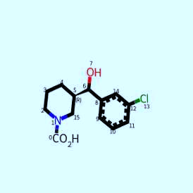 O=C(O)N1CCC[C@@H](C(O)c2cccc(Cl)c2)C1